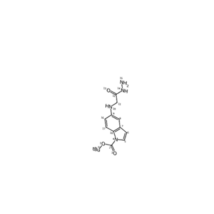 CC(C)(C)OC(=O)n1ccc2cc(NCC(=O)NN)ccc21